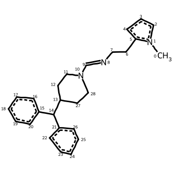 Cn1cccc1CCN=CN1CCC(C(c2ccccc2)c2ccccc2)CC1